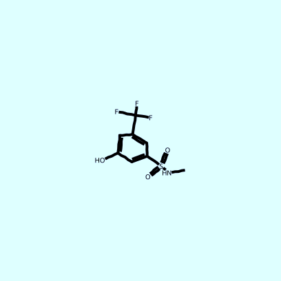 CNS(=O)(=O)c1cc(O)cc(C(F)(F)F)c1